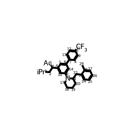 CC(=O)C(CC(C)C)c1cc(-c2ccc(C(F)(F)F)cc2)cc(N2CCCCC2Cc2ccccc2C)c1